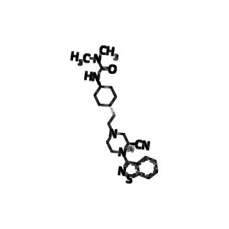 CN(C)C(=O)N[C@H]1CC[C@H](CCN2CCN(c3nsc4ccccc34)[C@H](C#N)C2)CC1